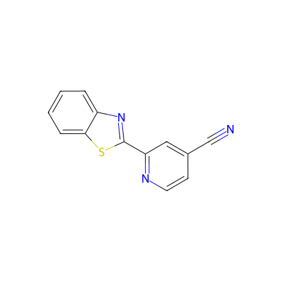 N#Cc1ccnc(-c2nc3ccccc3s2)c1